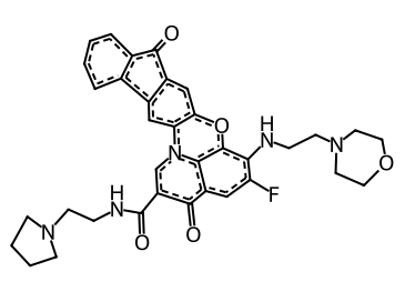 O=C(NCCN1CCCC1)c1cn2c3cc4c(cc3oc3c(NCCN5CCOCC5)c(F)cc(c1=O)c32)c(=O)c1ccccc14